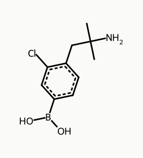 CC(C)(N)Cc1ccc(B(O)O)cc1Cl